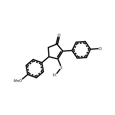 CCSC1=C(c2ccc(Cl)cc2)C(=O)CC1c1ccc(OC)cc1